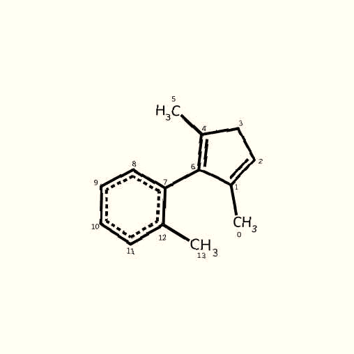 CC1=CCC(C)=C1c1ccccc1C